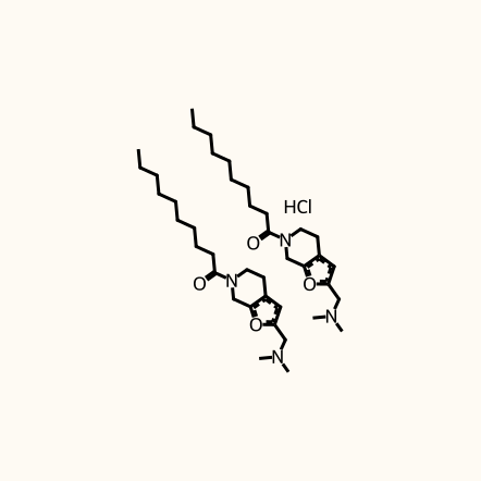 CCCCCCCCCC(=O)N1CCc2cc(CN(C)C)oc2C1.CCCCCCCCCC(=O)N1CCc2cc(CN(C)C)oc2C1.Cl